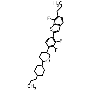 CCCc1ccc2cc(-c3ccc(C4CCC(C5CCC(CCC)CC5)OC4)c(F)c3F)sc2c1F